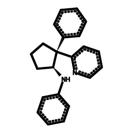 c1ccc(N[C@@H]2CCC[C@@]2(c2ccccc2)c2ccccn2)cc1